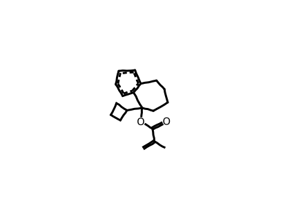 C=C(C)C(=O)OC1(C2CCC2)CCCCc2ccccc21